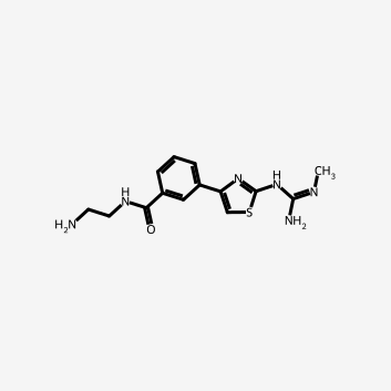 C/N=C(/N)Nc1nc(-c2cccc(C(=O)NCCN)c2)cs1